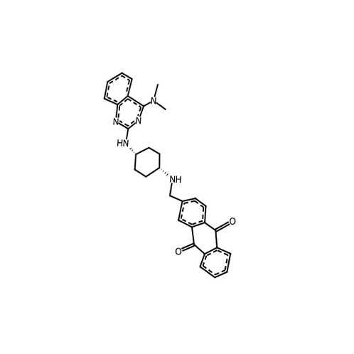 CN(C)c1nc(N[C@H]2CC[C@@H](NCc3ccc4c(c3)C(=O)c3ccccc3C4=O)CC2)nc2ccccc12